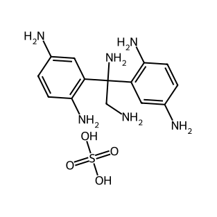 NCC(N)(c1cc(N)ccc1N)c1cc(N)ccc1N.O=S(=O)(O)O